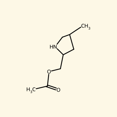 CC(=O)OCC1CC(C)CN1